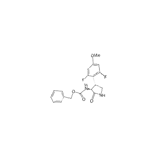 COc1cc(F)c([C@@H]2CNC(=O)[C@H]2NC(=O)OCc2ccccc2)c(F)c1